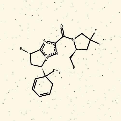 CC1([C@@H]2C[C@H](F)c3nc(C(=O)N4CC(F)(F)C[C@H]4CF)nn32)C=CC=CC1